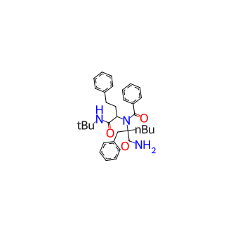 CCCCC(Cc1ccccc1)(C(N)=O)N(C(=O)c1ccccc1)C(CCc1ccccc1)C(=O)NC(C)(C)C